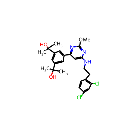 COc1nc(NCCc2ccc(Cl)cc2Cl)cc(-c2cc(C(C)(C)O)cc(C(C)(C)O)c2)n1